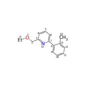 CCOCc1cccc(-c2ccccc2C)n1